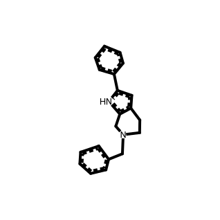 c1ccc(CN2CCc3cc(-c4ccccc4)[nH]c3C2)cc1